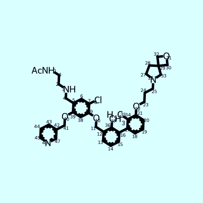 CC(=O)NCCNCc1cc(Cl)c(OCc2cccc(-c3cccc(OCCCN4CCC5(COC5)C4)c3C)c2C)cc1OCc1cccnc1